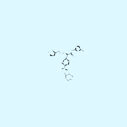 Cn1ccc(CO/N=C(/C(=O)Nc2ncc(F)s2)c2ccc(S(=O)(=O)NC3CCOCC3)cc2)n1